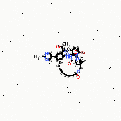 CC(=O)c1nn2c3c(cc(-c4cnc(C)nc4)cc13)CC/C=C\CCCC(=O)NC[C@@]13C[C@@H](C(=O)Nc4nc(Br)ccc4C)N(C(=O)C2)[C@@H]1C3